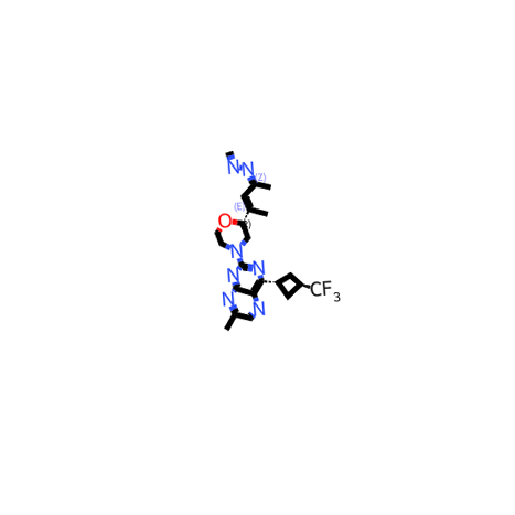 C=N/N=C(C)\C=C(/C)[C@@H]1CN(c2nc3nc(C)cnc3c([C@H]3C[C@H](C(F)(F)F)C3)n2)CCO1